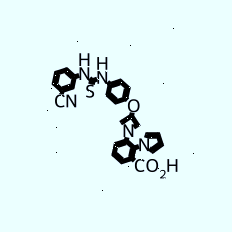 N#Cc1cccc(NC(=S)Nc2ccc(OC3CN(c4cccc(C(=O)O)c4-n4cccc4)C3)cc2)c1